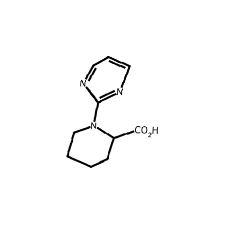 O=C(O)C1CCCCN1c1ncccn1